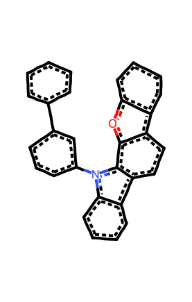 c1ccc(-c2cccc(-n3c4ccccc4c4ccc5c6ccccc6oc5c43)c2)cc1